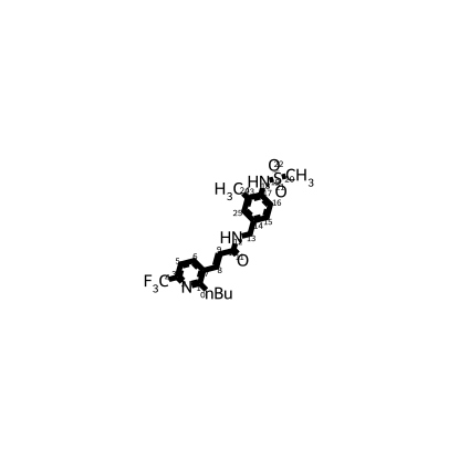 CCCCc1nc(C(F)(F)F)ccc1C=CC(=O)NCc1ccc(NS(C)(=O)=O)c(C)c1